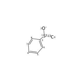 [13CH3][S+]([O-])c1ccccc1